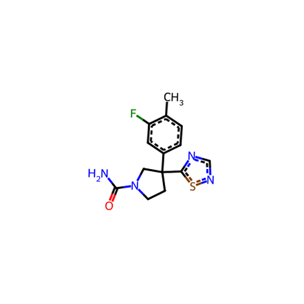 Cc1ccc(C2(c3ncns3)CCN(C(N)=O)C2)cc1F